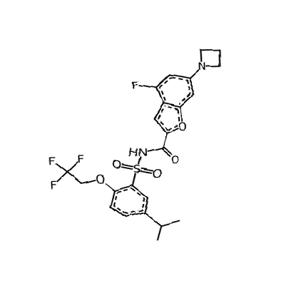 CC(C)c1ccc(OCC(F)(F)F)c(S(=O)(=O)NC(=O)c2cc3c(F)cc(N4CCC4)cc3o2)c1